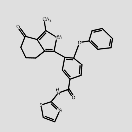 Cc1[nH]c(-c2cc(C(=O)Nc3nccs3)ccc2Oc2ccccc2)c2c1C(=O)CCC2